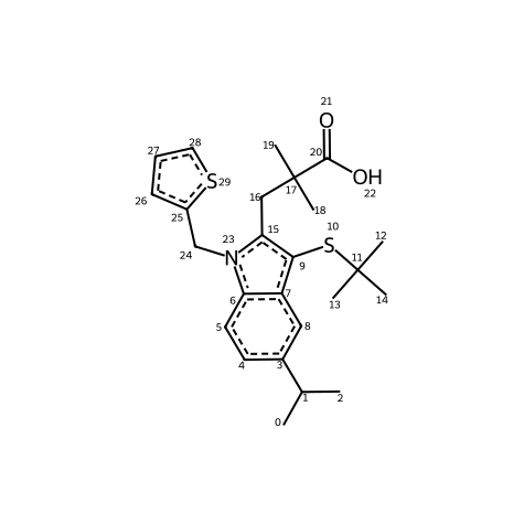 CC(C)c1ccc2c(c1)c(SC(C)(C)C)c(CC(C)(C)C(=O)O)n2Cc1cccs1